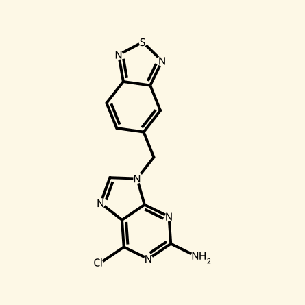 Nc1nc(Cl)c2ncn(Cc3ccc4nsnc4c3)c2n1